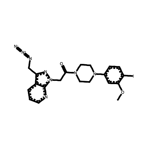 COc1cc(N2CCN(C(=O)Cn3nc(CN=[N+]=[N-])c4cccnc43)CC2)ccc1I